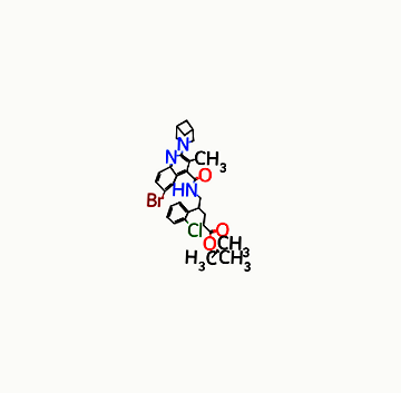 Cc1c(N2CC3CC(C3)C2)nc2ccc(Br)cc2c1C(=O)NCC(CCC(=O)OC(C)(C)C)c1ccccc1Cl